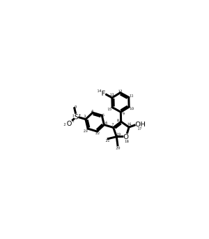 C[S+]([O-])c1ccc(C2=C(c3cccc(F)c3)C(O)OC2(C)C)cc1